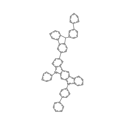 c1ccc(-c2ccc(-n3c4ccccc4c4cc5c6cc(-c7ccc8c(c7)-c7ccccc7C8c7cccc(-c8ccccc8)c7)ccc6n(-c6ccccc6)c5cc43)cc2)cc1